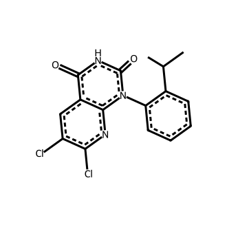 CC(C)c1ccccc1-n1c(=O)[nH]c(=O)c2cc(Cl)c(Cl)nc21